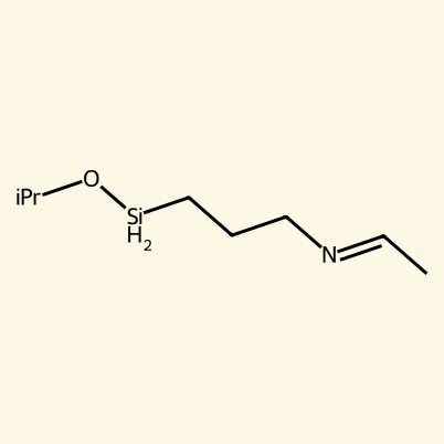 CC=NCCC[SiH2]OC(C)C